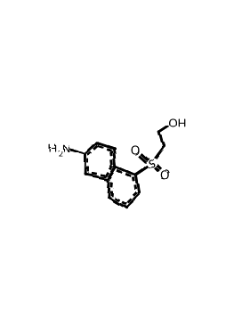 Nc1ccc2c(S(=O)(=O)CCO)cccc2c1